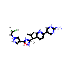 CC(C)[C@@](C)(c1ccc(-c2cnc(N)nc2)nc1)c1noc(-c2cnn(CC(F)F)c2)n1